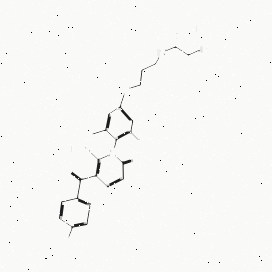 CC(C)C[C@H](NCCCOc1cc(F)c(-n2c(N)c(C(=O)c3ccc(F)cc3)ccc2=O)c(F)c1)C(=O)O